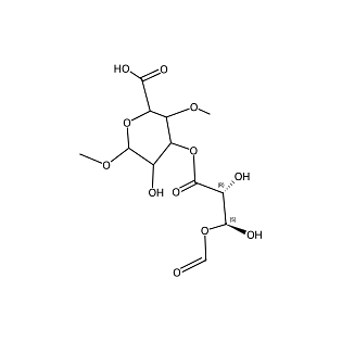 COC1OC(C(=O)O)C(OC)C(OC(=O)[C@H](O)[C@@H](O)OC=O)C1O